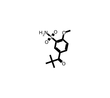 COc1ccc(C(=O)C(C)(C)C)cc1S(N)(=O)=O